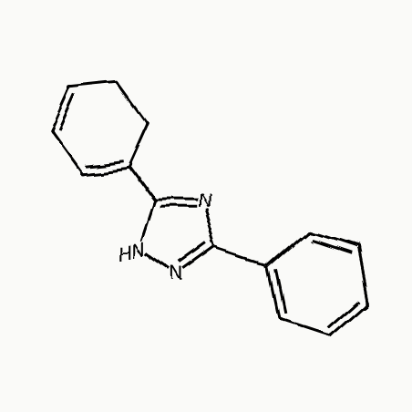 C1=CCCC(c2nc(-c3ccccc3)n[nH]2)=C1